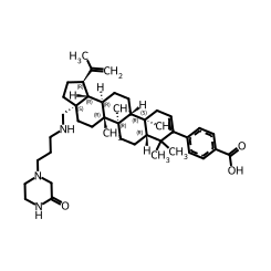 C=C(C)[C@@H]1CC[C@]2(CNCCCN3CCNC(=O)C3)CC[C@]3(C)[C@H](CC[C@@H]4[C@@]5(C)CC=C(c6ccc(C(=O)O)cc6)C(C)(C)[C@@H]5CC[C@]43C)[C@@H]12